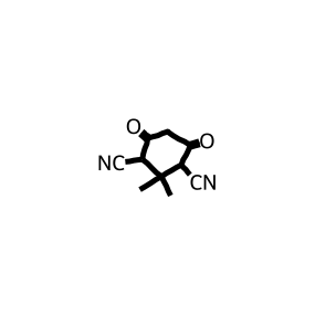 CC1(C)C(C#N)C(=O)CC(=O)C1C#N